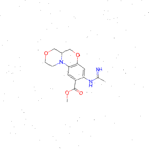 COC(=O)c1cc2c(cc1NC(C)=N)OCC1COCCN21